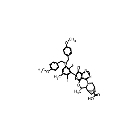 COc1ccc(CN(Cc2ccc(OC)cc2)c2cc(C)c(I)c(-c3nc4c5c(ncnc5c3Cl)N3CC5CCC(C3C(C)O4)N5C(=O)O)c2F)cc1